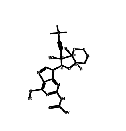 CCOc1nc(NC(=O)C(C)C)nc2c1ncn2[C@@H]1O[C@@H]2COSO[C@H]2[C@@]1(O)C#C[Si](C)(C)C